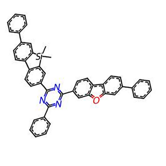 C[Si]1(C)c2cc(-c3ccccc3)ccc2-c2ccc(-c3nc(-c4ccccc4)nc(-c4ccc5c(c4)oc4cc(-c6ccccc6)ccc45)n3)cc21